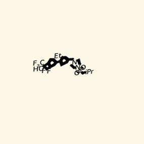 CCc1cc(CN2CCN(S(=O)(=O)CC(C)C)CC2)ccc1-c1ccc2c(c1)C(F)(F)C2(O)C(F)(F)F